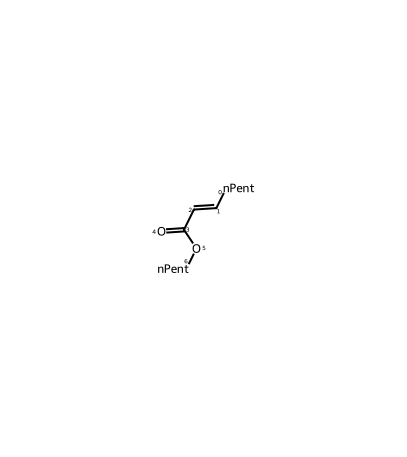 CCCCCC=CC(=O)OCCCCC